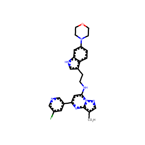 O=C(O)c1cnn2c(NCCc3c[nH]c4cc(N5CCOCC5)ccc34)cc(-c3cncc(F)c3)nc12